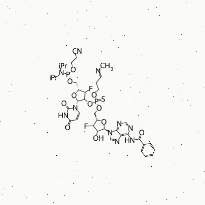 C/N=C/CCOP(=S)(OC[C@H]1O[C@@H](n2cnc3c(NC(=O)c4ccccc4)ncnc32)C(O)C1F)OC1C(F)[C@@H](COP(OCCC#N)N(C(C)C)C(C)C)O[C@H]1n1ccc(=O)[nH]c1=O